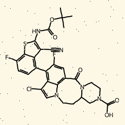 CC(C)(C)OC(=O)Nc1sc2c(F)ccc(-c3c(F)cc4c5c3c(Cl)cn5CCC3CN(C(=O)O)CCN3C4=O)c2c1C#N